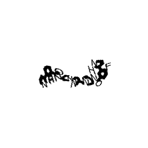 O=C(NC1CCN(Cc2ccc(N3CCC(NC(=O)c4cccc(-c5cccnc5)c4F)CC3)nc2)CC1)c1ccc(F)c(-c2cccnc2)c1